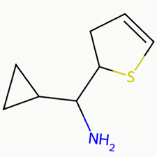 NC(C1CC1)C1CC=CS1